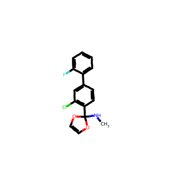 CNC1(c2ccc(-c3ccccc3F)cc2Cl)OC=CO1